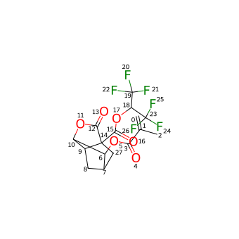 C=C(C)C(=O)OC1C2CC3C1OC(=O)C3(C(=O)OC(C(F)(F)F)C(F)(F)F)C2